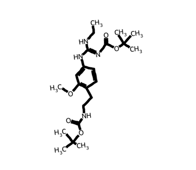 CCNC(=NC(=O)OC(C)(C)C)Nc1ccc(CCNC(=O)OC(C)(C)C)c(OC)c1